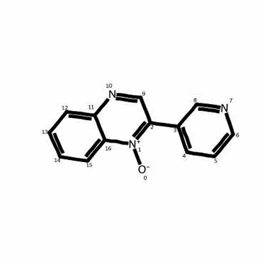 [O-][n+]1c(-c2cccnc2)cnc2ccccc21